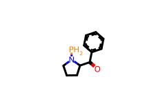 O=C(c1ccccc1)C1CCCN1P